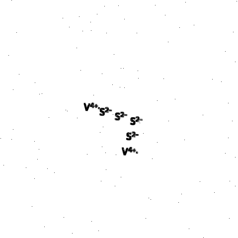 [S-2].[S-2].[S-2].[S-2].[V+4].[V+4]